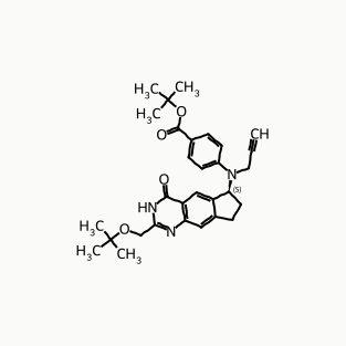 C#CCN(c1ccc(C(=O)OC(C)(C)C)cc1)[C@H]1CCc2cc3nc(COC(C)(C)C)[nH]c(=O)c3cc21